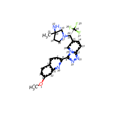 COc1ccc2ccc(-c3nnc4ccc([C@H](N5CCC(C)(N)C5)C(F)(F)F)cn34)nc2c1